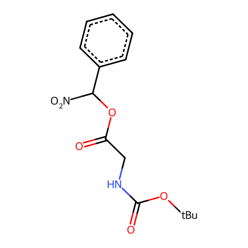 CC(C)(C)OC(=O)NCC(=O)OC(c1ccccc1)[N+](=O)[O-]